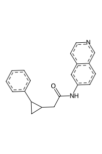 O=C(CC1CC1c1ccccc1)Nc1ccc2cnccc2c1